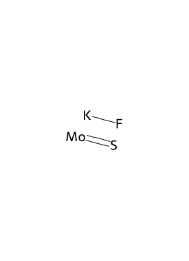 [F][K].[S]=[Mo]